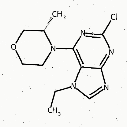 CCn1cnc2nc(Cl)nc(N3CCOC[C@@H]3C)c21